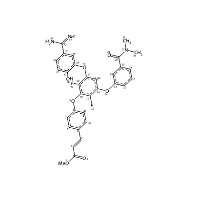 COC(=O)/C=C/c1ccc(Oc2c(F)c(Oc3cccc(C(=O)N(C)C)c3)nc(Oc3cc(C(=N)N)ccc3O)c2F)cc1